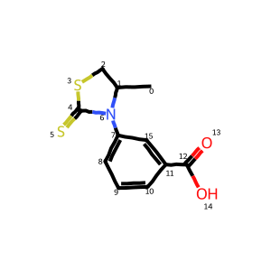 CC1CSC(=S)N1c1cccc(C(=O)O)c1